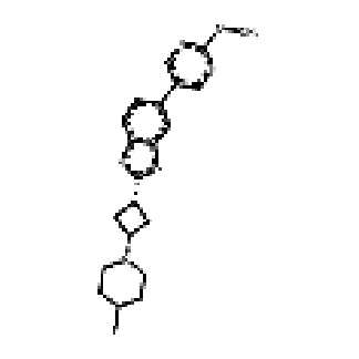 COc1ncc(-c2ccc3nc([C@H]4C[C@H](N5CCC(F)CC5)C4)sc3c2)cn1